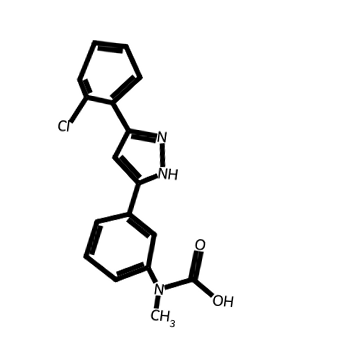 CN(C(=O)O)c1cccc(-c2cc(-c3ccccc3Cl)n[nH]2)c1